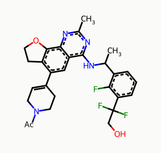 CC(=O)N1CC=C(c2cc3c(NC(C)c4cccc(C(F)(F)CO)c4F)nc(C)nc3c3c2CCO3)CC1